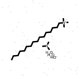 CCCCCCCCCCCCCCCC[N+](C)(C)C.CN(C)C.O.O.[OH-]